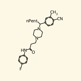 CCCCCC(c1ccc(C#N)c(C)c1)N1CCN(CCC(=O)Nc2ccc(F)cc2)CC1